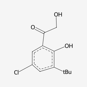 CC(C)(C)c1cc(Cl)cc(C(=O)CO)c1O